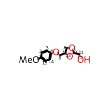 COc1ccc(OCC2COC(CO)O2)cc1